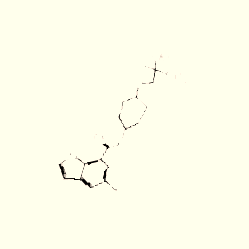 CC(C)(O)COC1CCC(NC(=O)c2cc(I)cc3cc[nH]c23)CC1